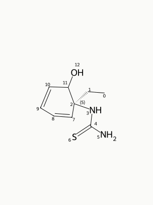 CC[C@]1(NC(N)=S)C=CC=CC1O